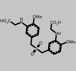 COc1ccc(CS(=O)(=O)Cc2ccc(OC)c(NCC(=O)O)c2)cc1NCC(=O)O